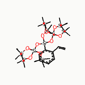 C=Cc1ccccc1[Si](O[Si](C)(C)C)(O[Si](O[Si](C)(C)C)(O[Si](C)(C)C)O[Si](C)(C)C)O[Si](O[Si](C)(C)C)(O[Si](C)(C)C)O[Si](C)(C)C